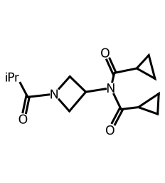 CC(C)C(=O)N1CC(N(C(=O)C2CC2)C(=O)C2CC2)C1